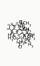 Cc1cc(Cl)ccc1-c1c(C)c2c(c(C)c1[C@H](OC(C)(C)C)C(=O)O)N(S(C)(=O)=O)Cc1cccc(F)c1-2